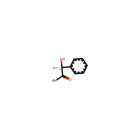 CC(C)C(=O)[C@@](C)(O)c1ccccc1